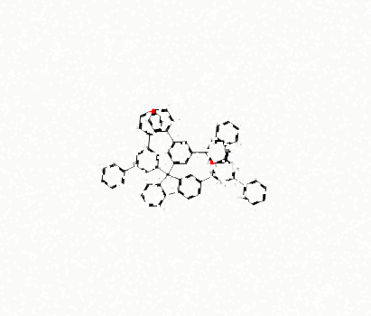 c1ccc(-c2cc(-c3ccccc3)cc(C3(c4cc(-c5ccccc5)cc(-c5ccccc5)c4)c4ccccc4-c4ccc(-c5nc(-c6ccccc6)nc(-c6ccccc6)n5)cc43)c2)cc1